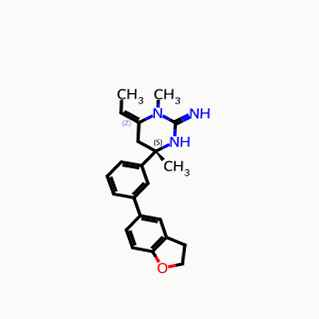 C/C=C1/C[C@@](C)(c2cccc(-c3ccc4c(c3)CCO4)c2)NC(=N)N1C